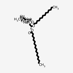 CCCCCCCCCCCCCCCCCC(=O)OC[C@H](COP(=O)(O)OCC[N+](C)(C)C)OC(=O)CCCCCCCCCCCCC